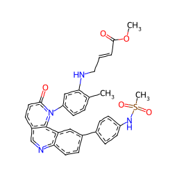 COC(=O)C=CCNc1cc(-n2c(=O)ccc3cnc4ccc(-c5ccc(NS(C)(=O)=O)cc5)cc4c32)ccc1C